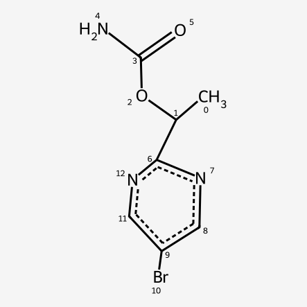 CC(OC(N)=O)c1ncc(Br)cn1